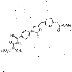 CCOC(=O)N(C)C(=O)NC(=N)c1ccc(N2CC(CN3CCN(CC(=O)OC)CC3)OC2=O)cc1